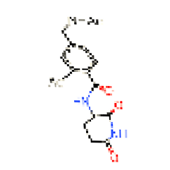 CC(=O)NCc1ccc(C(=O)NC2CCC(=O)NC2=O)c(C(C)=O)c1